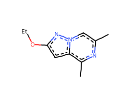 CCOc1cc2c(C)nc(C)cn2n1